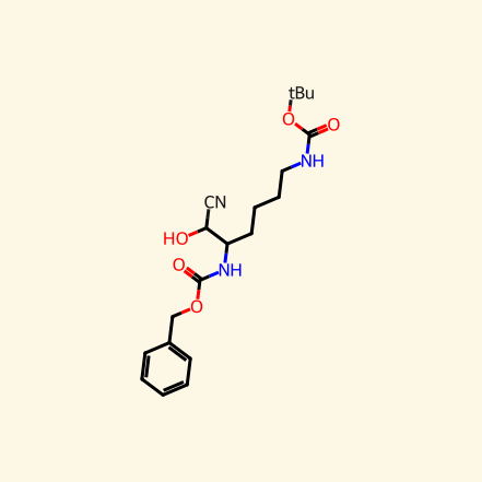 CC(C)(C)OC(=O)NCCCCC(NC(=O)OCc1ccccc1)C(O)C#N